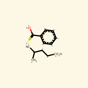 CC(C#N)CCC(=O)O.OC(=S)c1ccccc1